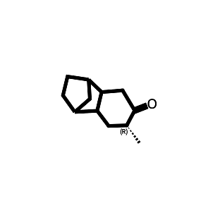 C[C@@H]1CC2C3CCC(C3)C2CC1=O